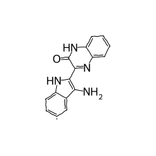 Nc1c(-c2nc3ccccc3[nH]c2=O)[nH]c2cc[c]cc12